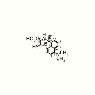 CN(C)c1cccc2c(S(=O)(=O)NC(CS)C(=O)O)cccc12